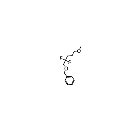 COCCCC(F)(F)COCc1ccccc1